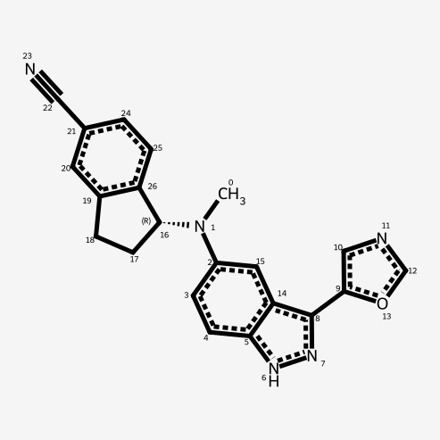 CN(c1ccc2[nH]nc(-c3cnco3)c2c1)[C@@H]1CCc2cc(C#N)ccc21